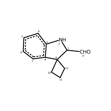 O=CC1Nc2ccccc2C12CCC2